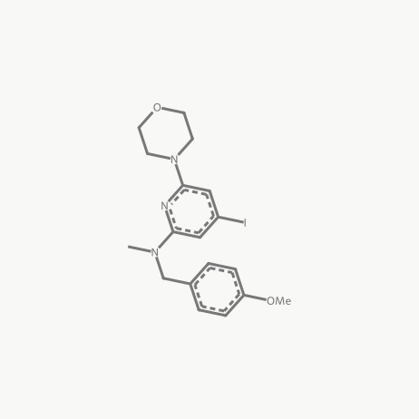 COc1ccc(CN(C)c2cc(I)cc(N3CCOCC3)n2)cc1